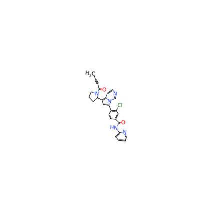 CC#CC(=O)N1CCCC1c1cc(-c2ccc(C(=O)Nc3ccccn3)cc2Cl)n2cnccc12